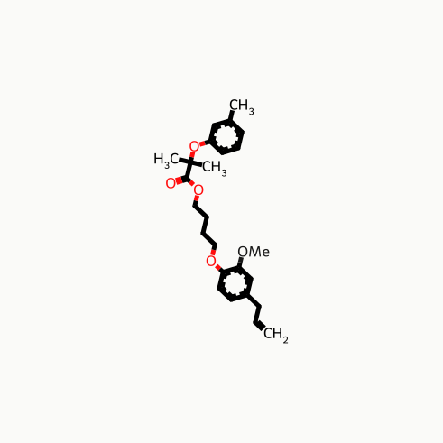 C=CCc1ccc(OCCCCOC(=O)C(C)(C)Oc2cccc(C)c2)c(OC)c1